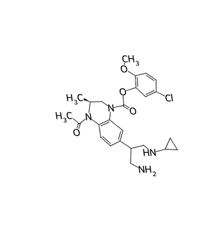 COc1ccc(Cl)cc1OC(=O)N1C[C@H](C)N(C(C)=O)c2ccc(C(CN)CNC3CC3)cc21